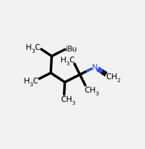 C=NC(C)(C)C(C)C(C)C(C)C(C)CC